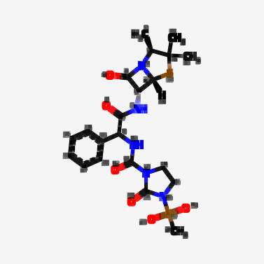 C[C@@H]1N2C(=O)[C@@H](NC(=O)C(NC(=O)N3CCN(S(C)(=O)=O)C3=O)c3ccccc3)[C@H]2SC1(C)C